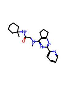 CN(CC(=O)NC1(C)CCCCC1)c1nc(-c2ccccn2)nc2c1CCC2